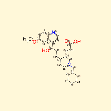 COc1ccc2nccc([C@H](O)CC[C@@H]3CCN(CC4CCCCC4)C[C@H]3CCC(=O)O)c2c1